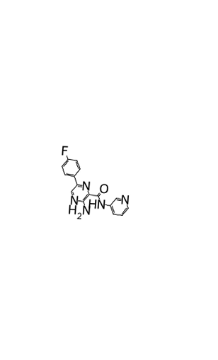 Nc1ncc(-c2ccc(F)cc2)nc1C(=O)Nc1cccnc1